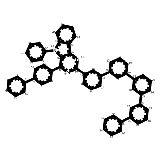 c1ccc(-c2ccc(-c3nc(-c4cccc(-c5cccc(-c6cccc(-c7cccc(-c8ccccc8)c7)c6)c5)c4)nc4c5ccccc5n(-c5ccccc5)c34)cc2)cc1